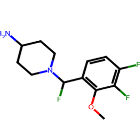 COc1c(C(F)N2CCC(N)CC2)ccc(F)c1F